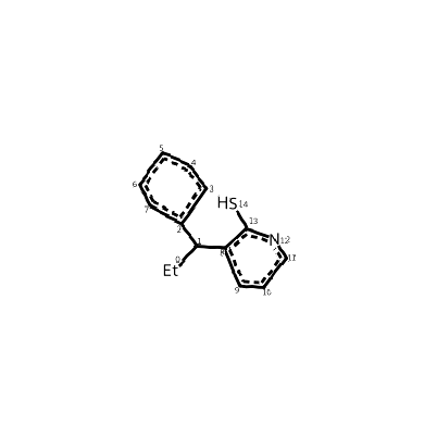 CCC(c1ccccc1)c1cccnc1S